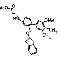 COC(=O)CCNc1ccc(-c2cc(C)c(C)c(OC)c2)c(COC2Cc3ccccc3C2)c1